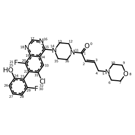 O=C(C=CCN1CCOCC1)N1CCN(c2ncnc3c(F)c(-c4c(O)cccc4F)c(Cl)cc23)CC1